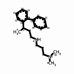 CC(CCNCCCN(C)C)c1ccccc1-c1ccccc1